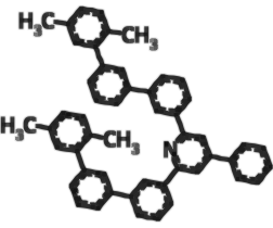 Cc1ccc(C)c(-c2cccc(-c3cccc(-c4cc(-c5ccccc5)cc(-c5cccc(-c6cccc(-c7cc(C)ccc7C)c6)c5)n4)c3)c2)c1